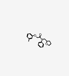 Cc1cccc(OCC(=O)N(CC2CCCO2)c2ccccc2)c1